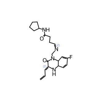 C=C/C=C1\NC2C=CC(F)=CC2N(C/N=C\CCC(=O)NC2CCCC2)C1=O